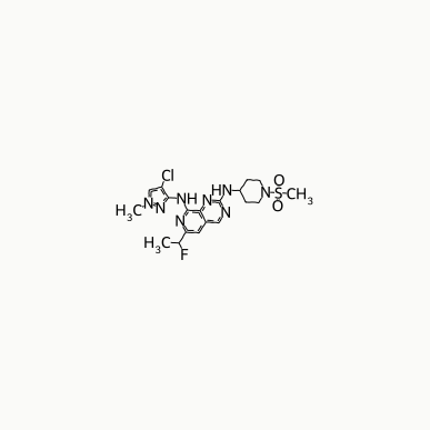 CC(F)c1cc2cnc(NC3CCN(S(C)(=O)=O)CC3)nc2c(Nc2nn(C)cc2Cl)n1